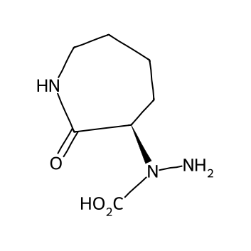 NN(C(=O)O)[C@@H]1CCCCNC1=O